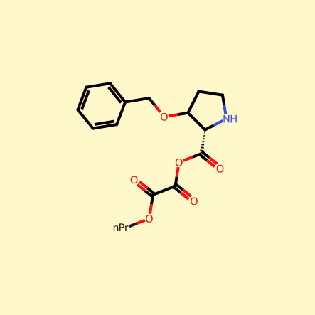 CCCOC(=O)C(=O)OC(=O)[C@H]1NCCC1OCc1ccccc1